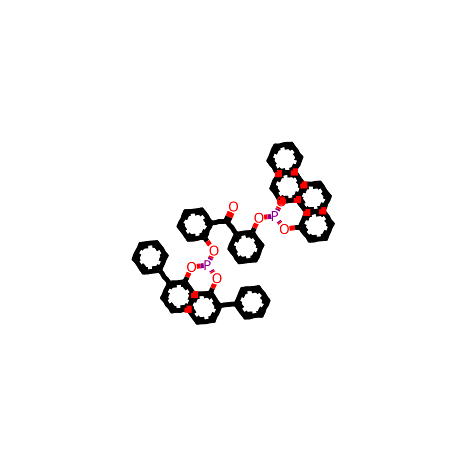 O=C(c1ccccc1OP(Oc1ccccc1-c1ccccc1)Oc1ccccc1-c1ccccc1)c1ccccc1OP(Oc1ccccc1-c1ccccc1)Oc1ccccc1-c1ccccc1